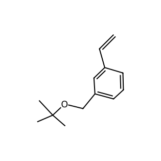 C=Cc1cccc(COC(C)(C)C)c1